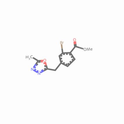 COC(=O)c1ccc(Cc2nnc(C)o2)cc1Br